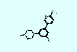 CN1CCN(c2cc(Cl)cc(-c3ccc(N)nc3)c2)CC1